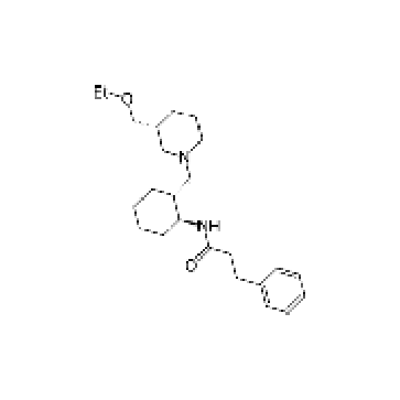 CCOC[C@@H]1CCCN(C[C@H]2CCCC[C@@H]2NC(=O)CCc2ccccc2)C1